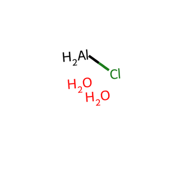 O.O.[AlH2][Cl]